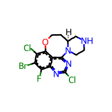 Fc1c(Br)c(Cl)c2c3c(nc(Cl)nc13)N1CCNC[C@@H]1CCO2